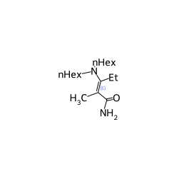 CCCCCCN(CCCCCC)/C(CC)=C(\C)C(N)=O